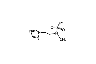 CC(C)S(=O)(=O)N(C)CCn1cncn1